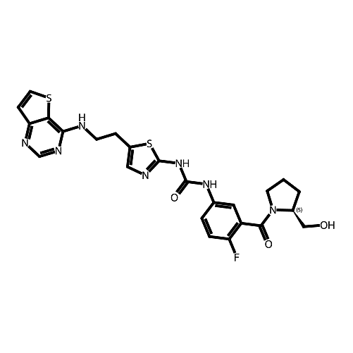 O=C(Nc1ccc(F)c(C(=O)N2CCC[C@H]2CO)c1)Nc1ncc(CCNc2ncnc3ccsc23)s1